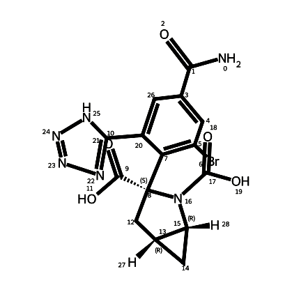 NC(=O)c1cc(Br)c([C@]2(C(=O)O)C[C@H]3C[C@H]3N2C(=O)O)c(-c2nnn[nH]2)c1